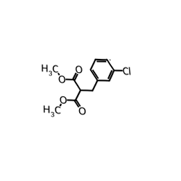 COC(=O)C(Cc1cc[c]c(Cl)c1)C(=O)OC